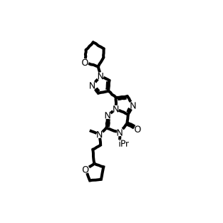 CC(C)n1c(N(C)CCC2CCCO2)nn2c(-c3cnn(C4CCCCO4)c3)cnc2c1=O